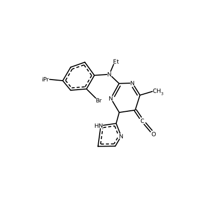 CCN(C1=NC(c2ncc[nH]2)C(=C=O)C(C)=N1)c1ccc(C(C)C)cc1Br